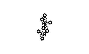 c1ccc(-c2nc(-c3cccc4c3oc3ccccc34)nc(-c3cccc4c3oc3cccc(-c5nc(-c6ccccc6)c6sc7ccccc7c6n5)c34)n2)cc1